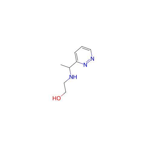 CC(NCCO)c1cccnn1